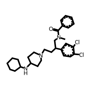 CN(CC(CCN1CCC(NC2CCCCC2)CC1)c1ccc(Cl)c(Cl)c1)C(=O)c1ccccc1